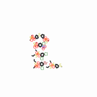 CCCSP(=O)(OCC)Oc1ccc(Br)cc1Cl.CCCSP(=S)(OCC)Oc1ccc(Cl)cc1Cl.CCCSP(=S)(OCC)Oc1ccc(SC)cc1.COP(=S)(OC)Oc1ccc(Cl)c([N+](=O)[O-])c1.COP(=S)(OC)Oc1ccc(Sc2ccc(OP(=S)(OC)OC)cc2)cc1